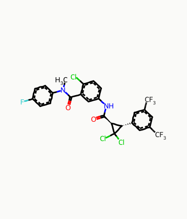 CN(C(=O)c1cc(NC(=O)[C@H]2[C@H](c3cc(C(F)(F)F)cc(C(F)(F)F)c3)C2(Cl)Cl)ccc1Cl)c1ccc(F)cc1